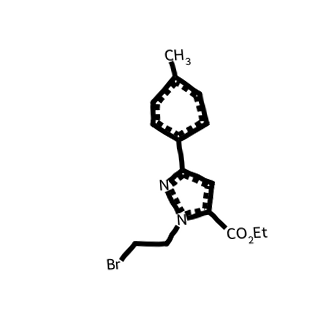 CCOC(=O)c1cc(-c2ccc(C)cc2)nn1CCBr